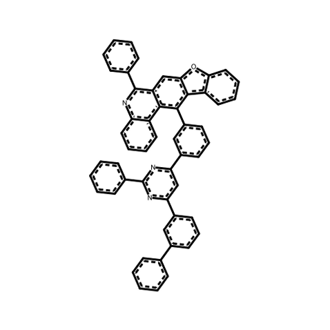 c1ccc(-c2cccc(-c3cc(-c4cccc(-c5c6c(cc7c(-c8ccccc8)nc8ccccc8c57)oc5ccccc56)c4)nc(-c4ccccc4)n3)c2)cc1